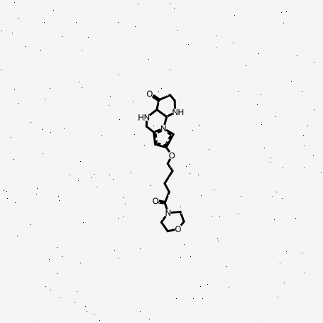 O=C1CCNC2C1NCc1cc(OCCCCC(=O)N3CCOCC3)cn12